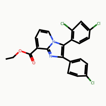 CCOC(=O)c1cccn2c(-c3ccc(Cl)cc3Cl)c(-c3ccc(Cl)cc3)nc12